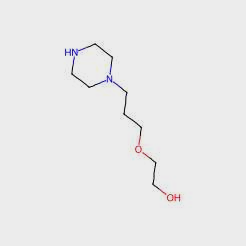 OCCOCCCN1CCNCC1